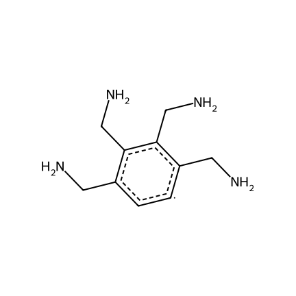 NCc1[c]cc(CN)c(CN)c1CN